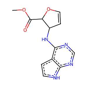 COC(=O)C1OC=CC1Nc1ncnc2[nH]ccc12